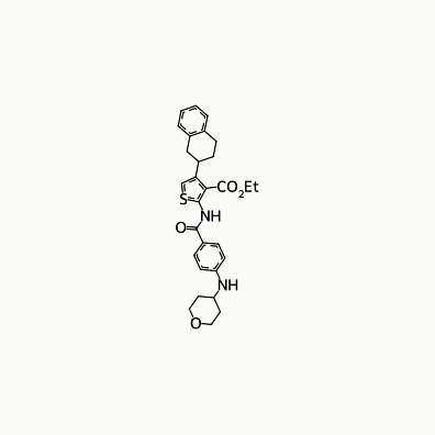 CCOC(=O)c1c(C2CCc3ccccc3C2)csc1NC(=O)c1ccc(NC2CCOCC2)cc1